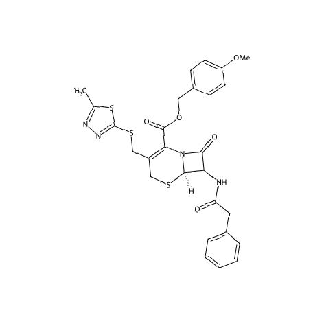 COc1ccc(COC(=O)C2=C(CSc3nnc(C)s3)CS[C@@H]3C(NC(=O)Cc4ccccc4)C(=O)N23)cc1